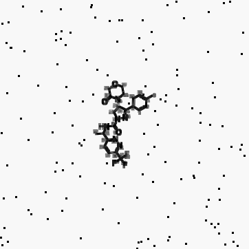 Cc1ccc(C2=NN(C(=O)NC(C)c3ccc(C(F)(F)F)nn3)C[C@@H]2N2CCOCC2=O)cc1